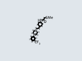 CSCC(=O)NC1CCC(CCN2CCN(c3cccc(C(F)(F)F)c3)CC2)CC1